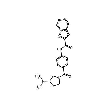 CN(C)C1CCN(C(=O)c2ccc(NC(=O)c3cc4ccccc4s3)cc2)C1